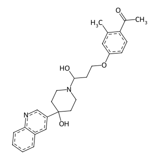 CC(=O)c1ccc(OCCC(O)N2CCC(O)(c3cnc4ccccc4c3)CC2)cc1C